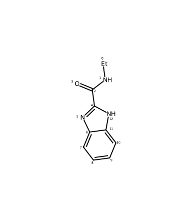 CCNC(=O)c1nc2ccccc2[nH]1